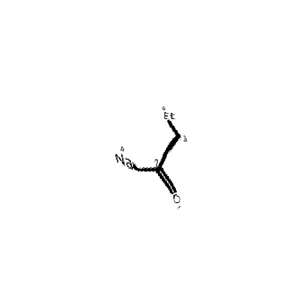 CCC[C](=O)[Na]